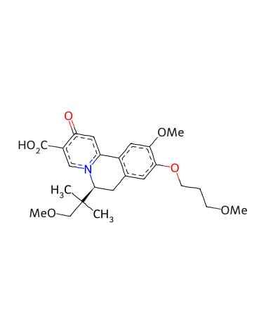 COCCCOc1cc2c(cc1OC)-c1cc(=O)c(C(=O)O)cn1[C@H](C(C)(C)COC)C2